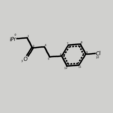 CC(C)CC(=O)CCc1ccc(Cl)cc1